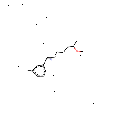 COC(C)CCC/C=C/c1cccc(C)c1